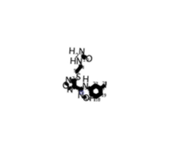 NC(=O)NCCSc1nonc1/C(=N/O)Nc1cccc(I)c1